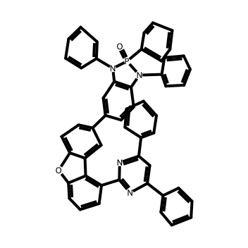 O=P1(c2ccccc2)N(c2ccccc2)c2ccc(-c3ccc4oc5cccc(-c6nc(-c7ccccc7)cc(-c7ccccc7)n6)c5c4c3)cc2N1c1ccccc1